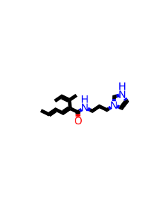 C\C=C(C)/C(=C\C=C\C)C(=O)NCCCN1C=CNC1